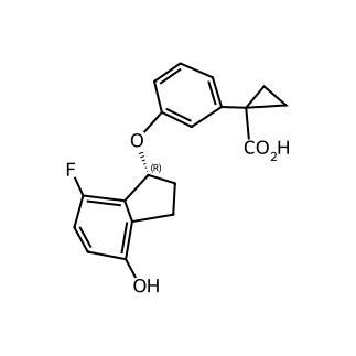 O=C(O)C1(c2cccc(O[C@@H]3CCc4c(O)ccc(F)c43)c2)CC1